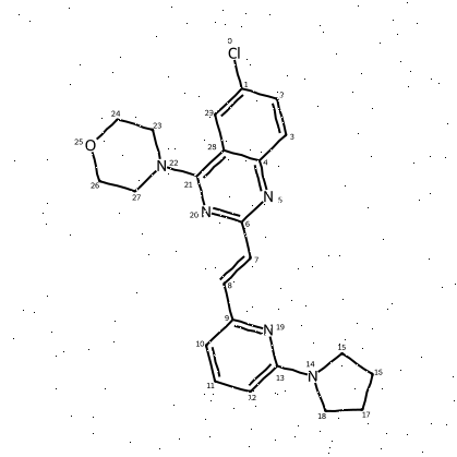 Clc1ccc2nc(C=Cc3cccc(N4CCCC4)n3)nc(N3CCOCC3)c2c1